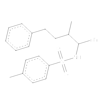 CCCC(NS(=O)(=O)c1ccc(C)cc1)C(C)CCc1ccccc1